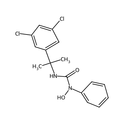 CC(C)(NC(=O)N(O)c1ccccc1)c1cc(Cl)cc(Cl)c1